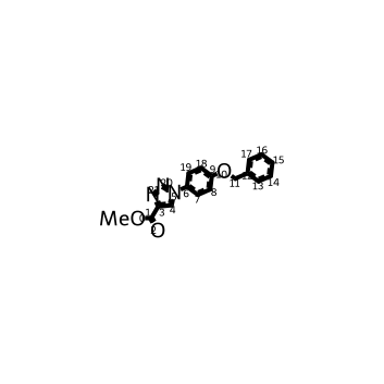 COC(=O)c1cn(-c2ccc(OCc3ccccc3)cc2)nn1